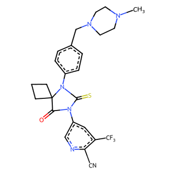 CN1CCN(Cc2ccc(N3C(=S)N(c4cnc(C#N)c(C(F)(F)F)c4)C(=O)C34CCC4)cc2)CC1